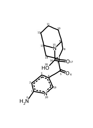 Nc1ccc(C(=O)N2CC3CCCC(C2)N3C(=O)O)cn1